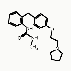 CNC(=O)Nc1ccc[c]c1Cc1ccc(OCCN2CCCC2)cc1